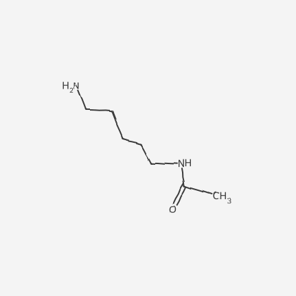 CC(=O)NCCCCCN